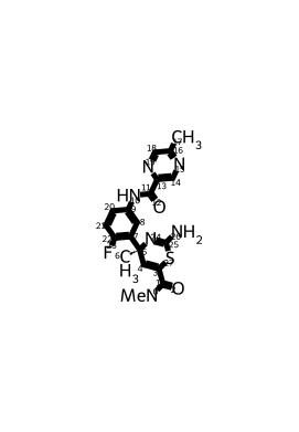 CNC(=O)C1=C[C@@](C)(c2cc(NC(=O)c3cnc(C)cn3)ccc2F)N=C(N)S1